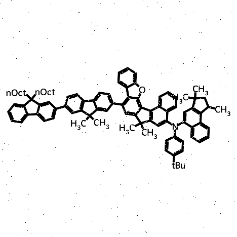 CCCCCCCCC1(CCCCCCCC)c2ccccc2-c2ccc(-c3ccc4c(c3)C(C)(C)c3cc(-c5cc6c(c7oc8ccccc8c57)-c5c(cc(N(c7ccc(C(C)(C)C)cc7)c7cc8c(c9ccccc79)C(C)CC8(C)C)c7ccccc57)C6(C)C)ccc3-4)cc21